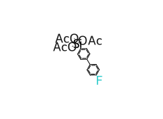 CC(=O)O[Si](OC(C)=O)(OC(C)=O)c1ccc(-c2ccc(F)cc2)cc1